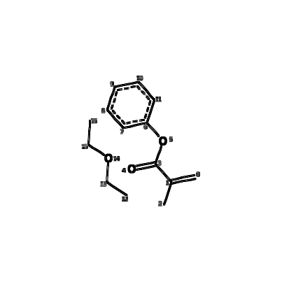 C=C(C)C(=O)Oc1ccccc1.CCOCC